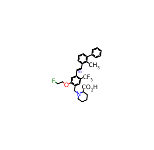 Cc1c(/C=C/c2cc(OCCF)c(CN3CCCCC3C(=O)O)cc2C(F)(F)F)cccc1-c1ccccc1